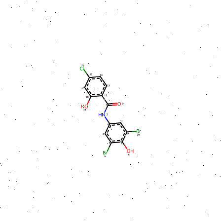 O=C(Nc1cc(Br)c(O)c(Br)c1)c1ccc(Cl)cc1O